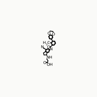 Cc1c(-c2ccc3c(c2)OCCO3)cccc1-c1nc2cc3c(c(C#N)c2o1)CCC3NCCC(=O)O